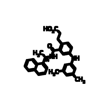 Cc1cc(C)cc(Nc2ccc(CCC(=O)O)c(C(=O)N[C@H](C)c3cccc4ccccc34)c2)c1